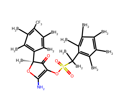 Bc1c(B)c(B)c(C(B)(B)S(=O)(=O)OC2=C(N)O[C@@](B)(c3c(B)c(B)c(C(F)(F)F)c(B)c3B)C2=O)c(B)c1B